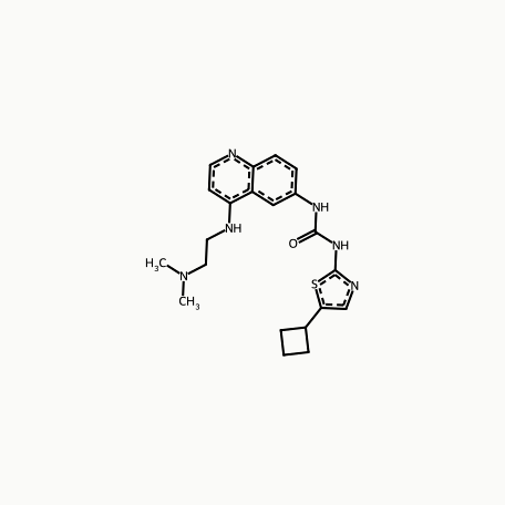 CN(C)CCNc1ccnc2ccc(NC(=O)Nc3ncc(C4CCC4)s3)cc12